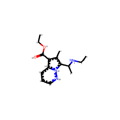 CCNC(C)c1c(C)c(C(=O)OCC)c2cccnn12